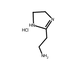 Cl.NCCC1=NCCN1